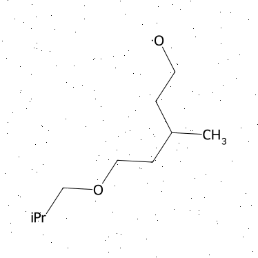 CC(C)COCCC(C)CC[O]